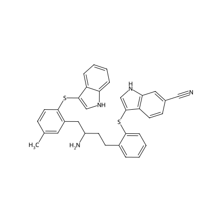 Cc1ccc(Sc2c[nH]c3ccccc23)c(CC(N)CCc2ccccc2Sc2c[nH]c3cc(C#N)ccc23)c1